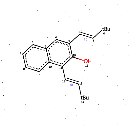 CC(C)(C)/C=C/c1cc2ccccc2c(/C=C/C(C)(C)C)c1O